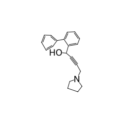 OC(C#CCN1CCCC1)c1ccccc1-c1ccccc1